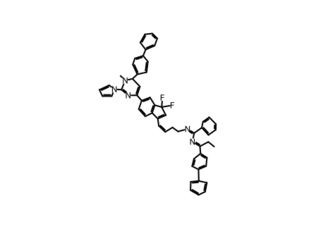 CC/C(=N\C(=N/CC/C=C\C1=CC(F)(F)c2cc(C3=CC(c4ccc(-c5ccccc5)cc4)N(C)C(n4cccc4)=N3)ccc21)c1ccccc1)c1ccc(-c2ccccc2)cc1